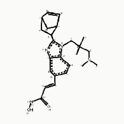 CN(C)CC(C)(C)Cn1c(C2CC3C=CC2C3)nc2cc(C=CC(=O)NO)ccc21